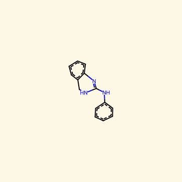 c1ccc(NC2=Nc3ccccc3CN2)cc1